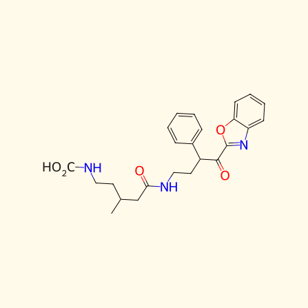 CC(CCNC(=O)O)CC(=O)NCCC(C(=O)c1nc2ccccc2o1)c1ccccc1